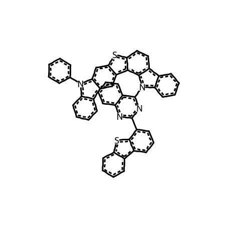 c1ccc(-n2c3ccccc3c3cc4c(cc32)sc2ccc3c5ccccc5n(-c5nc(-c6cccc7c6sc6ccccc67)nc6ccccc56)c3c24)cc1